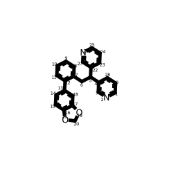 c1cncc(C(Cc2ccccc2-c2ccc3c(c2)OCO3)c2cccnc2)c1